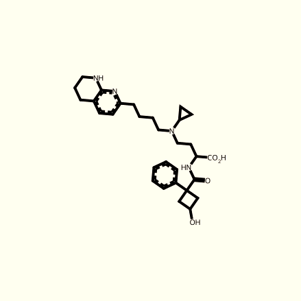 O=C(O)C(CCN(CCCCc1ccc2c(n1)NCCC2)C1CC1)NC(=O)C1(c2ccccc2)CC(O)C1